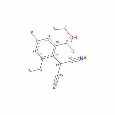 CCO.CCc1cc(C)cc(CC)c1C(C#N)C#N